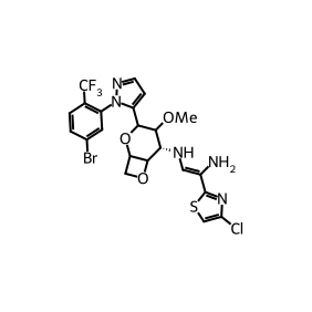 COC1C(c2ccnn2-c2cc(Br)ccc2C(F)(F)F)OC2COC2[C@H]1N/C=C(\N)c1nc(Cl)cs1